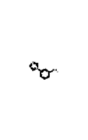 Bc1cccc(-n2ccnc2)c1